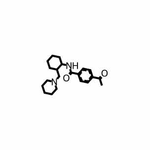 CC(=O)c1ccc(C(=O)NC2CCCCC2CN2CCCCC2)cc1